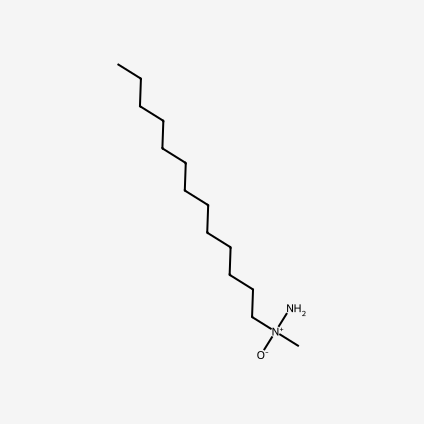 CCCCCCCCCCCCC[N+](C)(N)[O-]